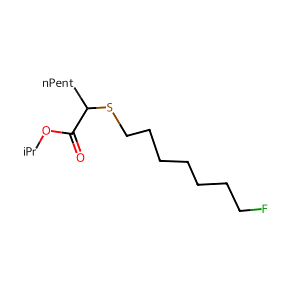 CCCCCC(SCCCCCCCF)C(=O)OC(C)C